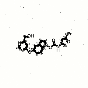 CC(C)c1cc(NC(=O)On2ccc3cc(Oc4cc(CO)ncn4)ccc32)no1